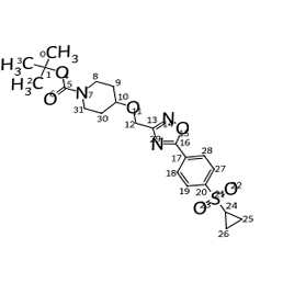 CC(C)(C)OC(=O)N1CCC(OCc2noc(-c3ccc(S(=O)(=O)C4CC4)cc3)n2)CC1